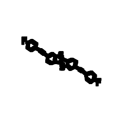 Fc1ccc(C#Cc2ccc3c(c2)sc2c4ccc(C#Cc5ccc(F)cc5)cc4sc32)cc1